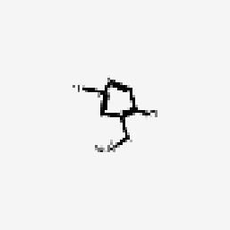 CNCc1cc(F)ccc1Cl